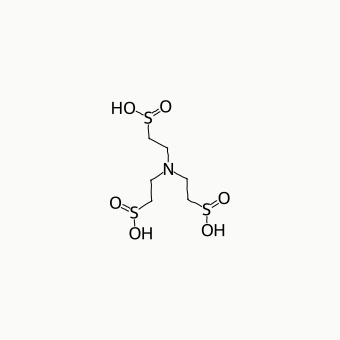 O=S(O)CCN(CCS(=O)O)CCS(=O)O